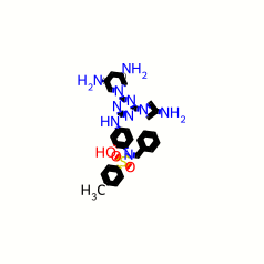 Cc1ccc(S(=O)(=O)N(Cc2ccccc2)c2ccc(Nc3nc(N4CC(N)C4)nc(N4C[C@H](N)C[C@H](N)C4)n3)cc2O)cc1